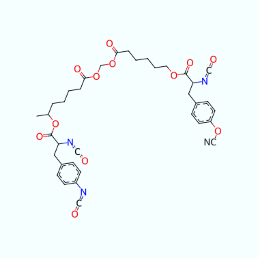 CC(CCCCC(=O)OCOC(=O)CCCCCOC(=O)C(Cc1ccc(OC#N)cc1)N=C=O)OC(=O)C(Cc1ccc(N=C=O)cc1)N=C=O